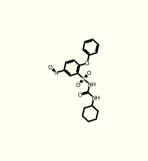 O=Nc1ccc(Oc2ccccc2)c(S(=O)(=O)NC(=O)NC2CCCCC2)c1